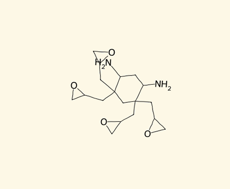 NC1CC(N)C(CC2CO2)(CC2CO2)CC1(CC1CO1)CC1CO1